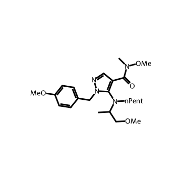 CCCCCN(c1c(C(=O)N(C)OC)cnn1Cc1ccc(OC)cc1)C(C)COC